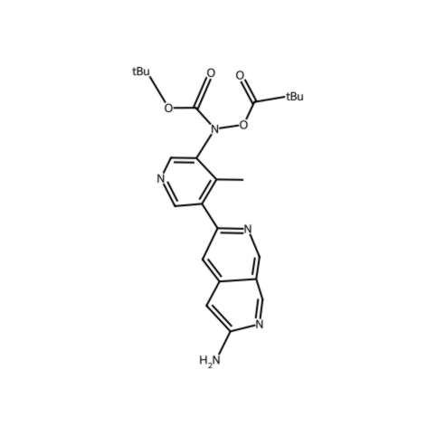 Cc1c(-c2cc3cc(N)ncc3cn2)cncc1N(OC(=O)C(C)(C)C)C(=O)OC(C)(C)C